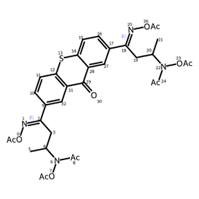 CC(=O)O/N=C(\CC(C)N(OC(C)=O)C(C)=O)c1ccc2sc3ccc(/C(CC(C)N(OC(C)=O)C(C)=O)=N/OC(C)=O)cc3c(=O)c2c1